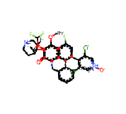 CC(C)Oc1cc([C@H](Cc2c(Cl)c[n+]([O-])cc2Cl)c2c(CN(C(=O)O[C@H]3CN4CCC3CC4)c3cccc(F)c3)cccc2C(=O)O)ccc1OC(F)F